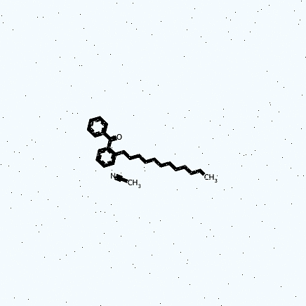 CC#N.CCCCCCCCCCCCc1ccccc1C(=O)c1ccccc1